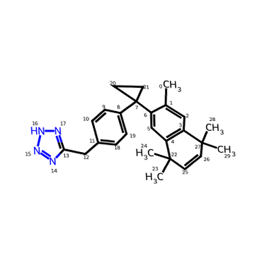 Cc1cc2c(cc1C1(c3ccc(Cc4nn[nH]n4)cc3)CC1)C(C)(C)C=CC2(C)C